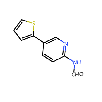 O=[C]Nc1ccc(-c2cccs2)cn1